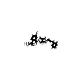 NC(=O)c1ccc(F)cc1C(=O)N1CC2CN(CC[CH]c3ccccc3)C[C@H]2C1